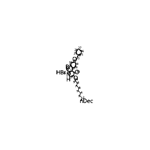 Br.CCCCCCCCCCCCCCCCCCOc1c[nH]c(CBr)c(-c2ccc(OCc3ccccc3)cc2)c1=O